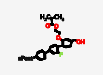 C=C(C)C(=O)OCCOc1cc(CO)ccc1-c1ccc(-c2ccc(CCCCC)cc2)cc1F